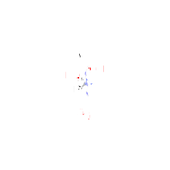 C=N[C@]12C/C(=C/CCC(C=O)COC)C[C@H]1C[C@@H](O)[C@@H]2/C=C/[C@@H](O)C(C)CC#CC